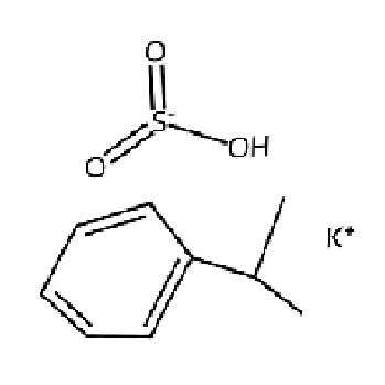 CC(C)c1ccccc1.O=[S-](=O)O.[K+]